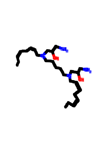 CC/C=C\C/C=C\CN(CCCCCN(C/C=C\C/C=C\CC)CC(O)CN)CC(O)CN